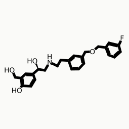 OCc1cc([C@@H](O)CNCCc2cccc(COCc3cccc(F)c3)c2)ccc1O